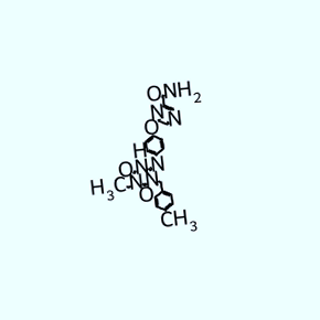 CCn1c(=O)[nH]/c(=N\c2ccc(Oc3cncc(C(N)=O)n3)cc2)n(Cc2ccc(C)cc2)c1=O